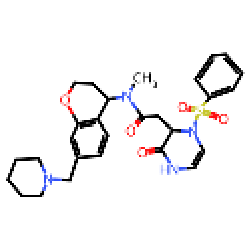 CN(C(=O)CC1C(=O)NC=CN1S(=O)(=O)c1ccccc1)C1CCOc2cc(CN3CCCCC3)ccc21